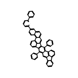 c1ccc(-c2cccc(-c3ccc4c(ccc5cc6c7c(-c8ccccc8)c8c(cc9c%10ccccc%10c%10cccc8c%109)c(-c8ccccc8)c7c7cccc(c54)c76)c3)n2)cc1